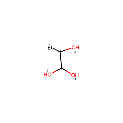 CCC(O)[C](O)O